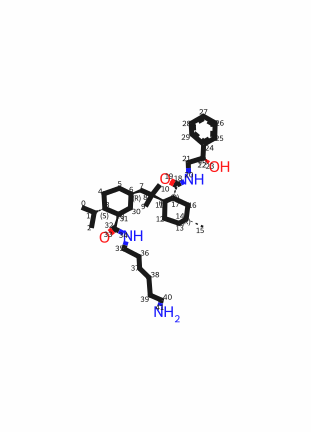 CC(C)[C@@H]1CC[C@@H](CC(C)(C)[C@@H]2CC[C@@H](C)C[C@H]2C(=O)NC[C@H](O)c2ccccc2)C[C@H]1C(=O)NCCCCCCN